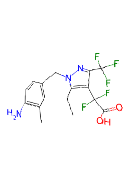 CCc1c(C(F)(F)C(=O)O)c(C(F)(F)F)nn1Cc1ccc(N)c(C)c1